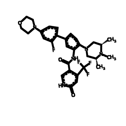 C[C@@H]1CN(c2ccc(-c3ccc(N4CCOCC4)cc3F)cc2NC(=O)c2c[nH]c(=O)cc2C(F)(F)F)C[C@H](C)N1C